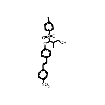 Cc1ccc(S(=O)(=O)C(Oc2ccc(C=Cc3ccc([N+](=O)[O-])cc3)cc2)C(C)CO)cc1